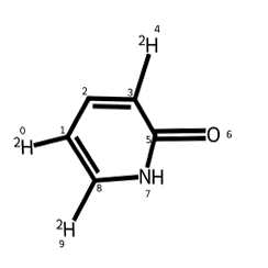 [2H]c1cc([2H])c(=O)[nH]c1[2H]